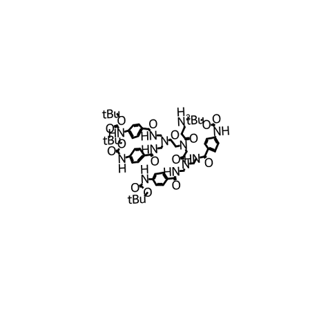 CC(C)(C)OC(=O)Nc1ccc(C(=O)NCN(CNC(=O)c2ccc(NC(=O)OC(C)(C)C)cc2)C(=O)CN(CC(=O)N(CNC(=O)c2ccc(NC(=O)OC(C)(C)C)cc2)CNC(=O)c2ccc(NC(=O)OC(C)(C)C)cc2)C(=O)CCN)cc1